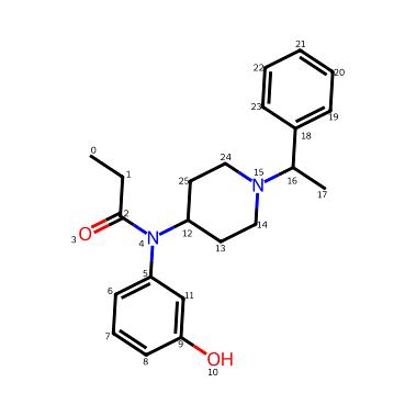 CCC(=O)N(c1cccc(O)c1)C1CCN(C(C)c2ccccc2)CC1